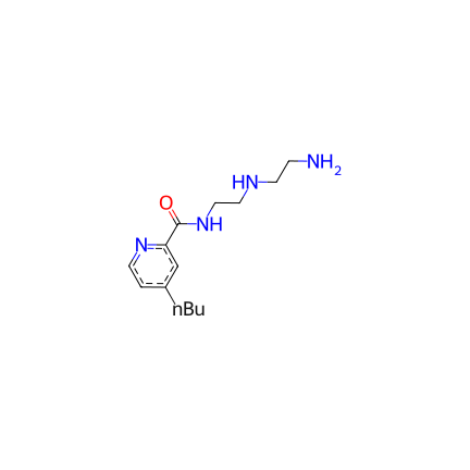 CCCCc1ccnc(C(=O)NCCNCCN)c1